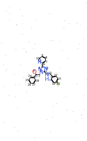 O=C(Cn1nc(-c2ccccn2)nc1NCc1ccc(F)cc1)c1ccccc1